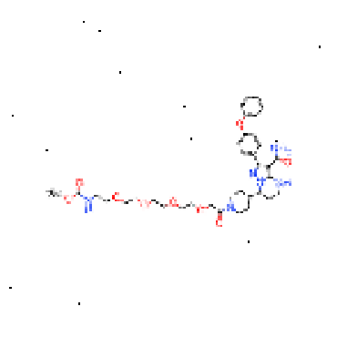 CC(C)(C)OC(=O)NCCOCCOCCOCCOCC(=O)N1CCC([C@@H]2CCNc3c(C(N)=O)c(-c4ccc(Oc5ccccc5)cc4)nn32)CC1